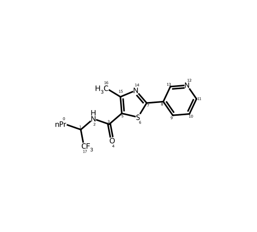 CCCC(NC(=O)c1sc(-c2cccnc2)nc1C)C(F)(F)F